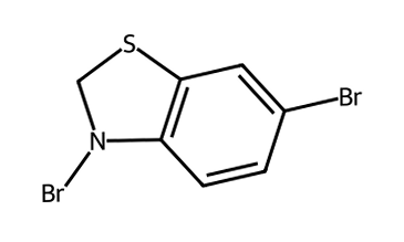 Brc1ccc2c(c1)SCN2Br